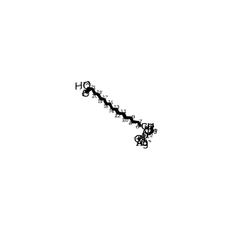 C1=NCCO1.CCCCCCCCCCCCCCCCCC(=O)O.O=[N+]([O-])[O-].[Ag+]